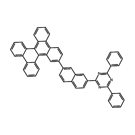 c1ccc(-c2nc(-c3ccccc3)nc(-c3ccc4ccc(-c5ccc6c7ccccc7c7c8ccccc8c8ccccc8c7c6c5)cc4c3)n2)cc1